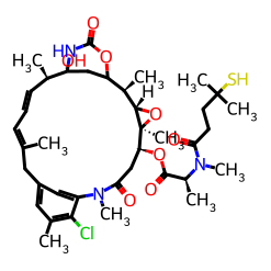 C/C1=C\C=C\[C@@H](C)[C@@]2(O)CC(OC(=O)N2)[C@@H](C)[C@@H]2O[C@@]2(C)[C@@H](OC(=O)[C@H](C)N(C)C(=O)CCC(C)(C)S)CC(=O)N(C)c2cc(cc(C)c2Cl)C1